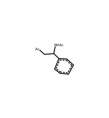 CC(=O)CC(NC(C)=O)c1ccccc1